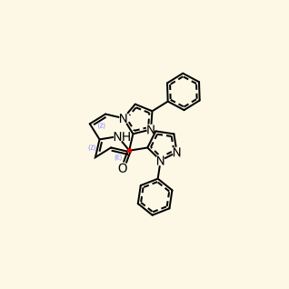 O=C(NC1=C\C=C\c2nc(-c3ccccc3)cn2/C=C\1)c1ccnn1-c1ccccc1